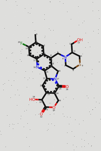 Cc1cc2c(CN3CCSCC3CO)c3c(nc2cc1F)-c1cc2c(c(=O)n1C3)COC(=O)C2O